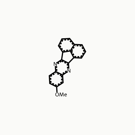 COc1ccc2nc3c(nc2c1)-c1cccc2cccc-3c12